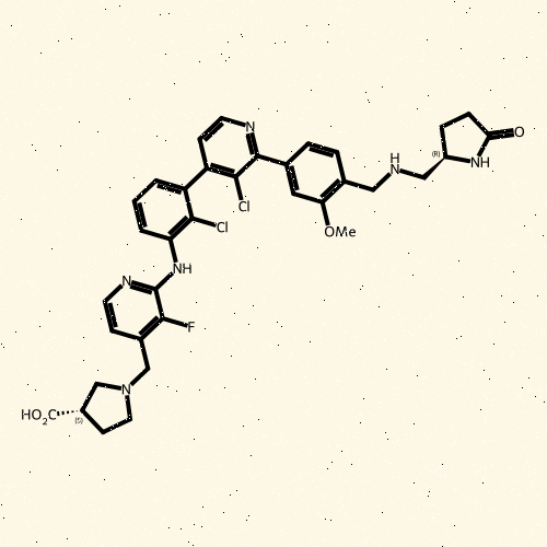 COc1cc(-c2nccc(-c3cccc(Nc4nccc(CN5CC[C@H](C(=O)O)C5)c4F)c3Cl)c2Cl)ccc1CNC[C@H]1CCC(=O)N1